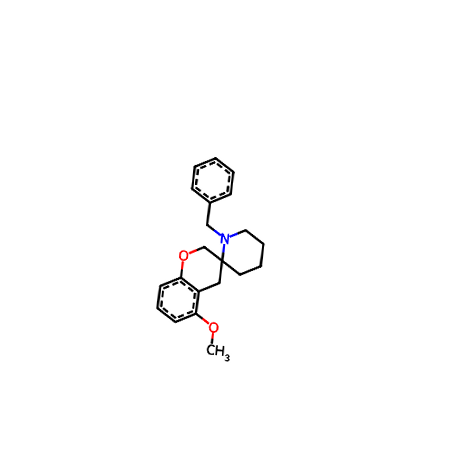 COc1cccc2c1CC1(CCCCN1Cc1ccccc1)CO2